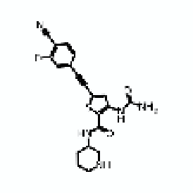 N#Cc1ccc(C#Cc2cc(NC(N)=O)c(C(=O)NC3CCCNC3)s2)cc1F